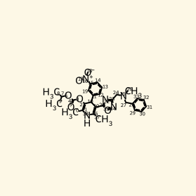 CC1=C(OC(=O)OC(C)C)C(c2cccc([N+](=O)[O-])c2)C(c2nc(CN(C)Cc3ccccc3)no2)=C(C)N1